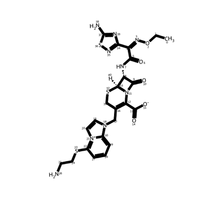 CCO/N=C(\C(=O)N[C@@H]1C(=O)N2C(C(=O)[O-])=C(Cn3cc[n+]4c(SCCN)cccc34)CS[C@@H]12)c1nsc(N)n1